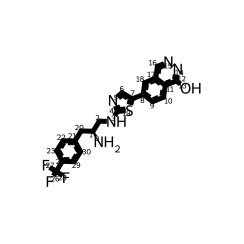 N[C@H](CNc1ncc(-c2ccc3c(O)nncc3c2)s1)Cc1ccc(C(F)(F)F)cc1